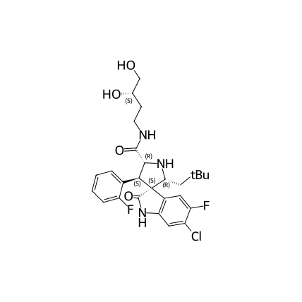 CC(C)(C)C[C@H]1N[C@@H](C(=O)NCC[C@H](O)CO)[C@H](c2ccccc2F)[C@@]12C(=O)Nc1cc(Cl)c(F)cc12